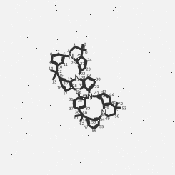 CC1(C)CCN2c3cccc(c3)C(C)(C)c3ccc4c(c3)N(c3ccc1c2c3)c1cccc2c1B4c1ccc3cc1N2c1ccc2c(c1)N(CCC2(C)C)c1cccc(c1)C3(C)C